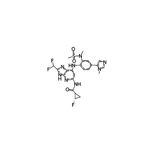 CN(c1cc(-c2cncn2C)ccc1Nc1cc(NC(=O)C2C[C@@H]2F)nc2[nH]c(C(F)F)nc12)S(C)(=O)=O